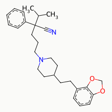 CC(C)C(C#N)(CCCN1CCC(CCc2cccc3c2OCO3)CC1)c1ccccc1